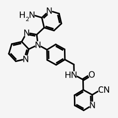 N#Cc1ncccc1C(=O)NCc1ccc(-n2c(-c3cccnc3N)nc3cccnc32)cc1